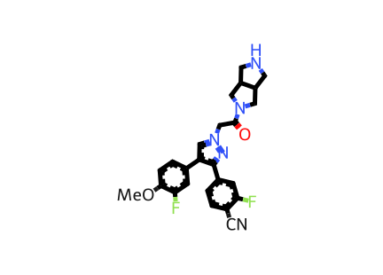 COc1ccc(-c2cn(CC(=O)N3CC4CNCC4C3)nc2-c2ccc(C#N)c(F)c2)cc1F